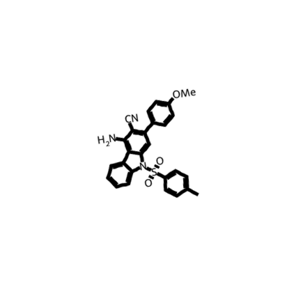 COc1ccc(-c2cc3c(c(N)c2C#N)c2ccccc2n3S(=O)(=O)c2ccc(C)cc2)cc1